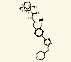 N#C[C@H](Cc1ccc(-c2cnn(CC3CCOCC3)c2)cc1F)NC(=O)[C@H]1N[C@@H]2CC[C@H]1C2